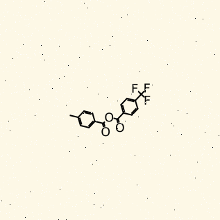 Cc1ccc(C(=O)OC(=O)c2ccc(C(F)(F)F)cc2)cc1